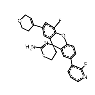 NC1=N[C@@]2(CCS1)c1cc(-c3cccnc3F)ccc1Oc1c(F)cc(C3=CCOCC3)cc12